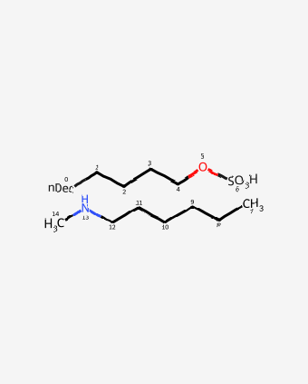 CCCCCCCCCCCCCCOS(=O)(=O)O.CCCCCCNC